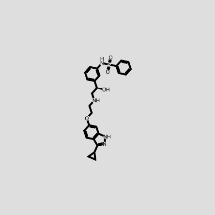 O=S(=O)(Nc1cccc([C@@H](O)CNCCOc2ccc3c(C4CC4)n[nH]c3c2)c1)c1ccccc1